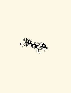 COc1ccc(F)cc1C(C)Oc1cc(-c2cnc(N)c(S(C)(=O)=O)c2)cnc1N